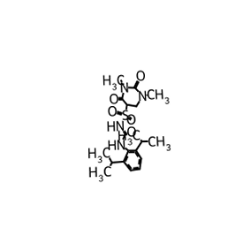 CC(C)c1cccc(C(C)C)c1NC(=O)NS(=O)(=O)C1CN(C)C(=O)N(C)C1=O